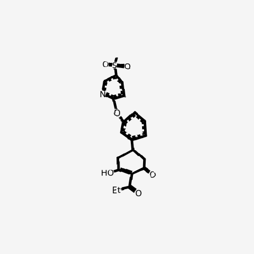 CCC(=O)C1=C(O)CC(c2cccc(Oc3ccc(S(C)(=O)=O)cn3)c2)CC1=O